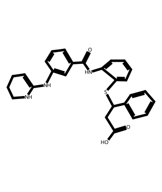 O=C(O)CC(Sc1ccccc1NC(=O)c1cccc(NC2=CCCCN2)c1)c1ccccc1